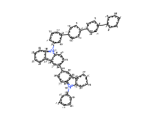 c1ccc(-c2ccc(-c3ccc(-c4cccc(-n5c6ccccc6c6cc(-c7ccc8c(c7)c7ccccc7n8-c7ccccc7)ccc65)c4)cc3)cc2)cc1